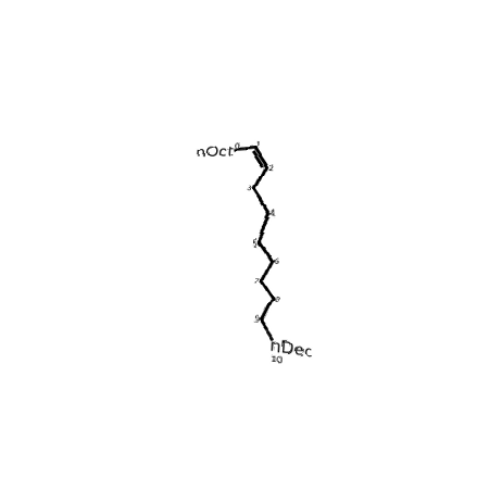 CCCCCCCC/C=C\CCCCCCCCCCCCCCCCC